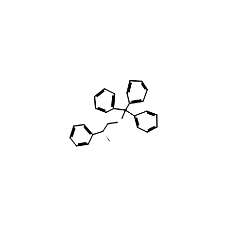 O[C@H](COC(c1ccccc1)(c1ccccc1)c1ccccc1)c1ccccc1